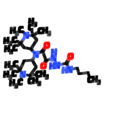 CCCCNC(=O)NNC(=O)C(=O)N(C1CC(C)(C)N(C)C(C)(C)C1)C1CC(C)(C)N(C)C(C)(C)C1